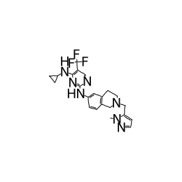 Cn1nccc1CN1CCc2cc(Nc3ncc(C(F)(F)F)c(NC4CC4)n3)ccc2C1